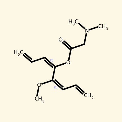 C=C/C=C(OC)\C(=C/C=C)OC(=O)CN(C)C